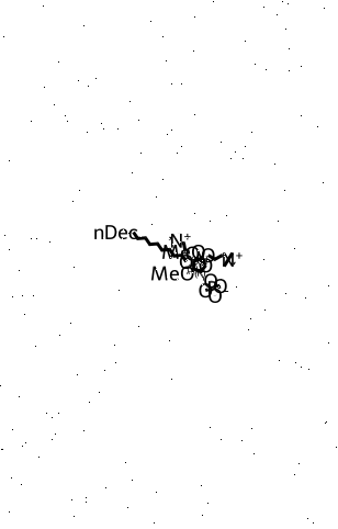 CCCCCCCCCCCCCCCCCCO[C@]1(OCC[N+](C)(C)C)[C@@H](OC)[C@@H](COP(=O)([O-])[O-])O[C@@]1(OC)OCC[N+](C)(C)C